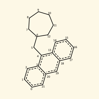 c1ccc2c(C[C]3CCCCCC3)c3ccccc3cc2c1